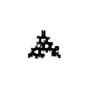 NC(=O)c1cc(-c2ccc(F)cc2F)c2c(n1)CNCC2